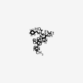 CCC(CC)Nc1nc(N(CO)CCc2ccccc2)nc2c1ncn2[C@@H]1O[C@H](c2nc(C)no2)[C@@H](OC=O)[C@H]1O